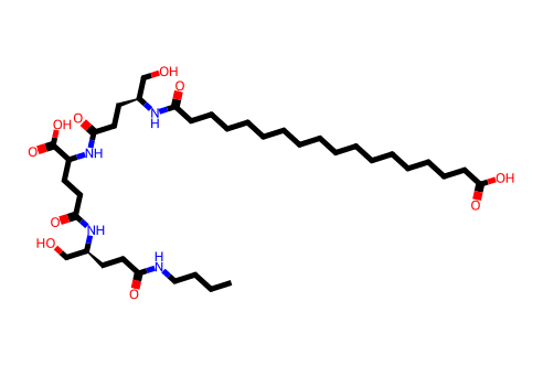 CCCCNC(=O)CC[C@@H](CO)NC(=O)CCC(NC(=O)CC[C@@H](CO)NC(=O)CCCCCCCCCCCCCCCCC(=O)O)C(=O)O